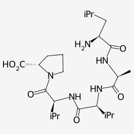 CC(C)C[C@H](N)C(=O)N[C@@H](C)C(=O)N[C@H](C(=O)N[C@H](C(=O)N1CCC[C@H]1C(=O)O)C(C)C)C(C)C